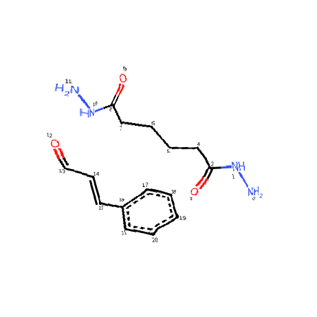 NNC(=O)CCCCC(=O)NN.O=C/C=C/c1ccccc1